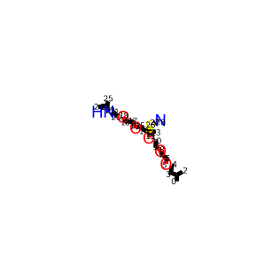 CC(C)CCOCCOCCOC(C)(CCOCCOCCNC(C)C)SC#N